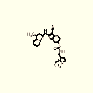 CCn1nccc1CNC(=O)OC1CCc2c(sc(NC(=O)CC(C)c3ccccn3)c2C#N)C1